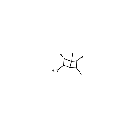 CC1C2C(N)[C@@H](C)[C@]2(C)[C@H]1C